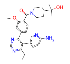 CCc1ncnc(-c2ccc(C(=O)N3CCC(C(C)(C)O)CC3)c(OC)c2)c1-c1ccc(N)nc1